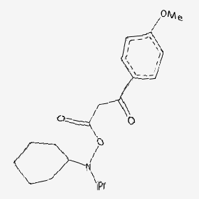 COc1ccc(C(=O)CC(=O)ON(C(C)C)C2CCCCC2)cc1